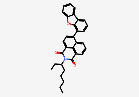 CCCCCC(CC)N1C(=O)c2cccc3c(-c4cccc5c4oc4ccccc45)ccc(c23)C1=O